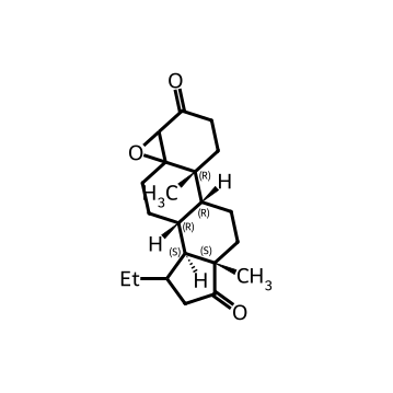 CCC1CC(=O)[C@@]2(C)CC[C@@H]3[C@@H](CCC45OC4C(=O)CC[C@]35C)[C@H]12